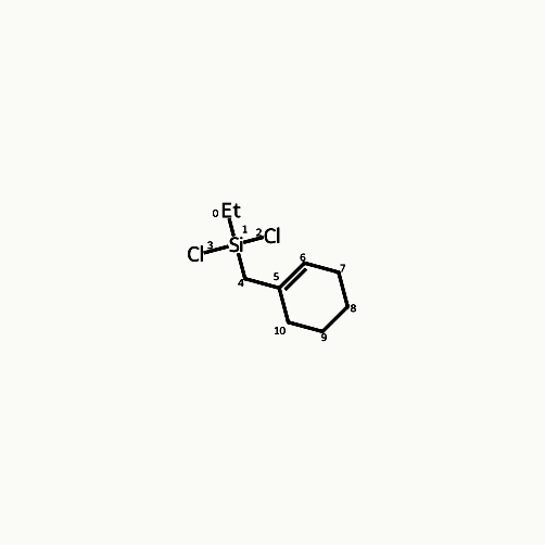 CC[Si](Cl)(Cl)CC1=CCCCC1